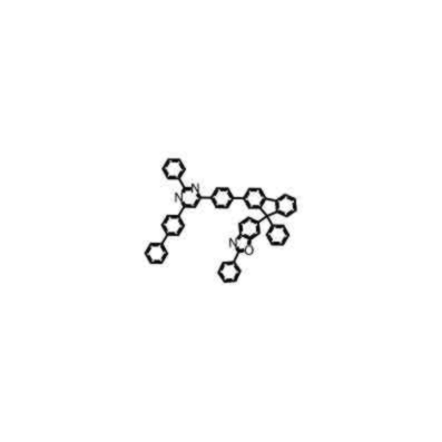 c1ccc(-c2ccc(-c3cc(-c4ccc(-c5ccc6c(c5)C(c5ccccc5)(c5ccc7nc(-c8ccccc8)oc7c5)c5ccccc5-6)cc4)nc(-c4ccccc4)n3)cc2)cc1